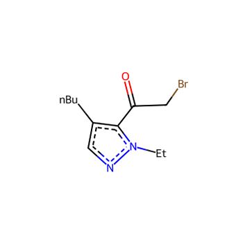 CCCCc1cnn(CC)c1C(=O)CBr